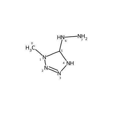 CN1N=NNC1NN